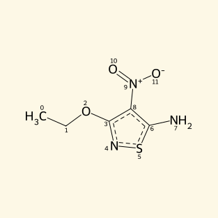 CCOc1nsc(N)c1[N+](=O)[O-]